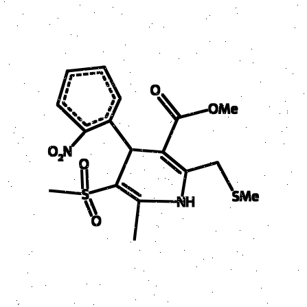 COC(=O)C1=C(CSC)NC(C)=C(S(C)(=O)=O)C1c1ccccc1[N+](=O)[O-]